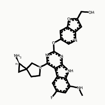 CNc1cc(F)cc2c1[nH]c1nc(Oc3cnc4cc(CO)oc4c3)nc(N3CCC4(C[C@H]4N)C3)c12